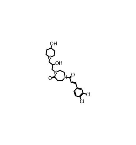 O=C(C=Cc1ccc(Cl)c(Cl)c1)N1CCC(=O)N(CC(O)CN2CCC(O)CC2)CC1